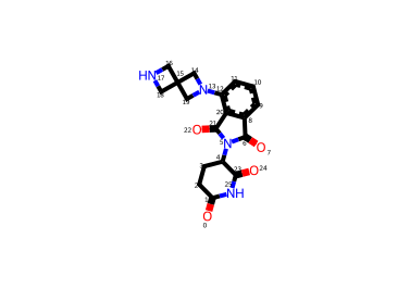 O=C1CCC(N2C(=O)c3cccc(N4CC5(CNC5)C4)c3C2=O)C(=O)N1